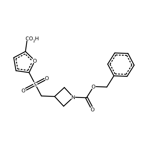 O=C(O)c1ccc(S(=O)(=O)CC2CN(C(=O)OCc3ccccc3)C2)o1